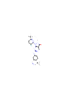 CCn1c(=O)c2cnc(Nc3ccc4c(c3)CNCC43CC3)nc2n1-c1nc(C(C)(C)C#N)ccc1F